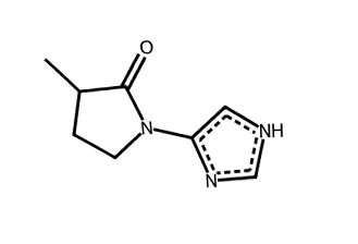 CC1CCN(c2c[nH]cn2)C1=O